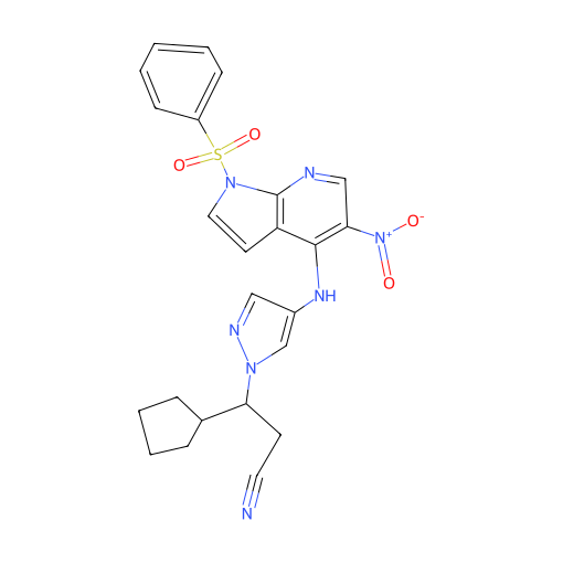 N#CCC(C1CCCC1)n1cc(Nc2c([N+](=O)[O-])cnc3c2ccn3S(=O)(=O)c2ccccc2)cn1